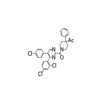 CC(=O)C1(c2ccccc2)CCN(C(=O)c2ncc(-c3ccc(Cl)cc3)c(-c3ccc(Cl)cc3Cl)n2)CC1